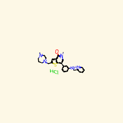 CN1CCCN(Cc2cc3c(=O)n(C)cc(-c4cccc(NCc5ccccn5)c4)c3s2)CC1.Cl